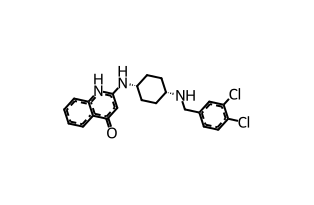 O=c1cc(N[C@H]2CC[C@@H](NCc3ccc(Cl)c(Cl)c3)CC2)[nH]c2ccccc12